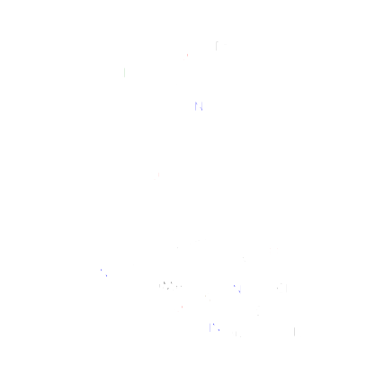 COc1ncccc1-c1cc(C(=O)N([Si](C)(C)C(C)(C)C)S(=N)(=O)C2CC2)c(F)cc1Oc1cnc(OC(C)C)c(Cl)c1